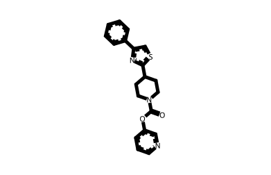 O=C(Oc1cccnc1)N1CCC(c2nc(-c3ccccc3)cs2)CC1